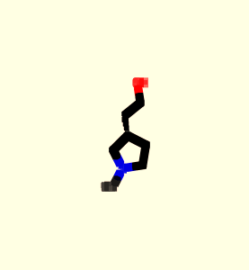 CC(C)(C)N1CC[C@@H](CCO)C1